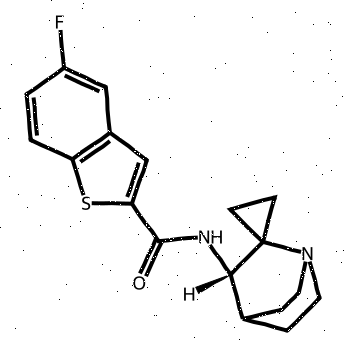 O=C(N[C@H]1C2CCN(CC2)C12CC2)c1cc2cc(F)ccc2s1